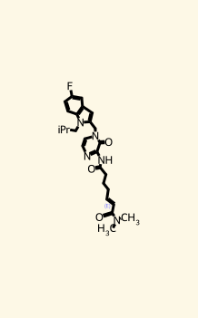 CC(C)Cn1c(Cn2ccnc(NC(=O)CCC/C=C/C(=O)N(C)C)c2=O)cc2cc(F)ccc21